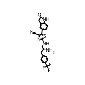 N#Cc1nc(NC[C@H](N)Cc2ccc(C(F)(F)F)cc2)sc1-c1ccc2c(c1)CC(=O)N2